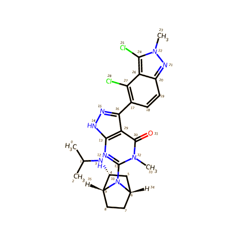 CC(C)N[C@@H]1C[C@@H]2CC[C@H]1N2c1nc2[nH]nc(-c3ccc4nn(C)c(Cl)c4c3Cl)c2c(=O)n1C